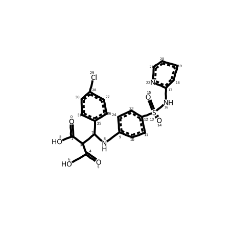 O=C(O)C(C(=O)O)C(Nc1ccc(S(=O)(=O)Nc2ccccn2)cc1)c1ccc(Cl)cc1